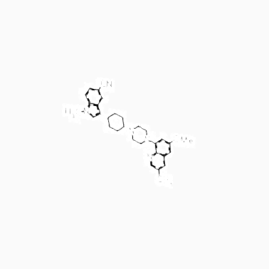 COc1cc(N2CCN([C@H]3CC[C@@H](c4cn(C)c5ccc(C#N)cc54)CC3)CC2)c2ncc(C)cc2c1